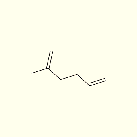 C=CCCC(=C)C